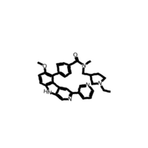 CCN1CCC(CN(C)C(=O)c2ccc(-c3c(OC)ccc4[nH]c5cnc(-c6cccnc6)cc5c34)cc2)C1